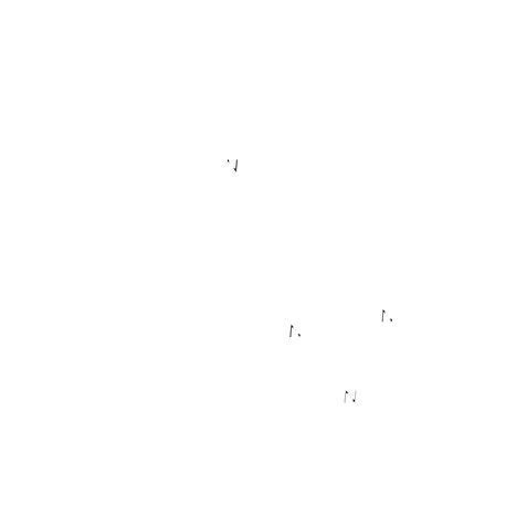 c1cc(-c2ncncn2)cc(N2CCCC2)c1